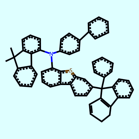 CC1(C)c2ccccc2-c2c(N(c3ccc(-c4ccccc4)cc3)c3cccc4c3sc3cc(C5(c6ccccc6)C6=C(CCC=C6)c6ccccc65)ccc34)cccc21